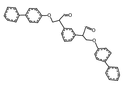 O=[C]C(COc1ccc(-c2ccccc2)cc1)c1cccc(C([C]=O)COc2ccc(-c3ccccc3)cc2)c1